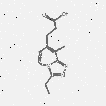 CCc1nnc2c(C)c(CCC(=O)O)ccn12